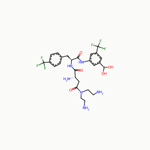 NCCN(CCN)C(=O)C[C@H](N)C(=O)N[C@@H](Cc1ccc(C(F)(F)F)cc1)C(=O)Nc1cc(B(O)O)cc(C(F)(F)F)c1